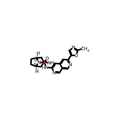 Cc1ncc(-c2cc3cc(NC(=O)N4[C@@H]5CC[C@H]4CC(N)C5)ncc3cn2)o1